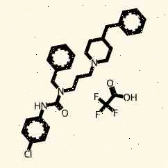 O=C(Nc1ccc(Cl)cc1)N(CCCN1CCC(Cc2ccccc2)CC1)Cc1ccccc1.O=C(O)C(F)(F)F